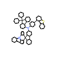 c1ccc(C2(c3ccccc3)c3ccccc3-c3c(N(c4ccc(-c5cccc6sc7ccccc7c56)cc4)c4ccc5c(c4)C4(c6ccccc6-5)c5ccccc5-n5c6ccccc6c6cccc4c65)cccc32)cc1